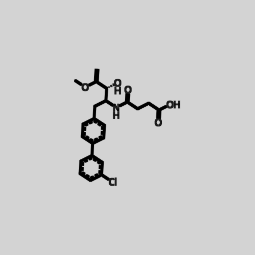 C=C(OC)[C@H](O)C(Cc1ccc(-c2cccc(Cl)c2)cc1)NC(=O)CCC(=O)O